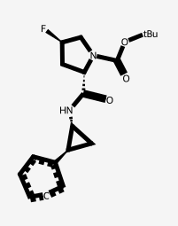 CC(C)(C)OC(=O)N1C[C@H](F)C[C@H]1C(=O)N[C@@H]1C[C@H]1c1ccccc1